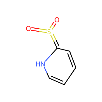 O=S(=O)=c1cccc[nH]1